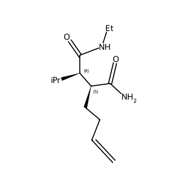 C=CCC[C@H](C(N)=O)[C@H](C(=O)NCC)C(C)C